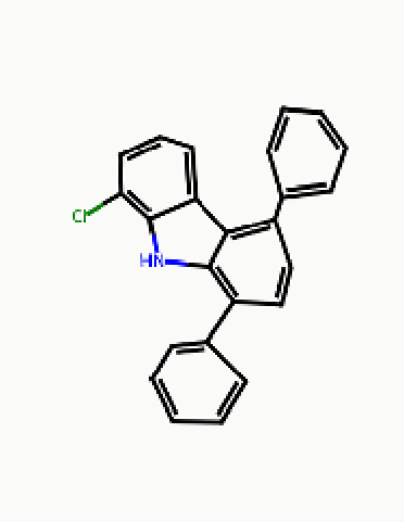 Clc1cccc2c1[nH]c1c(-c3ccccc3)ccc(-c3ccccc3)c12